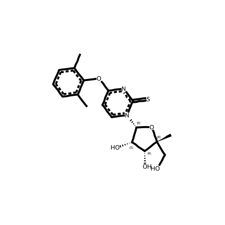 Cc1cccc(C)c1Oc1ccn([C@@H]2O[C@](C)(CO)[C@H](O)[C@@H]2O)c(=S)n1